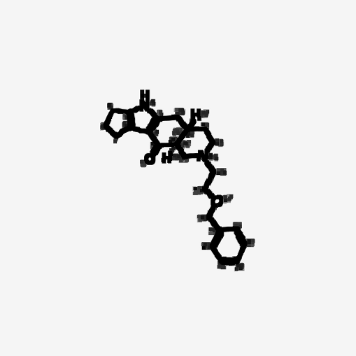 O=C1c2c([nH]c3c2CCC3)C[C@@H]2CCN(CCOCc3ccccc3)C[C@@H]12